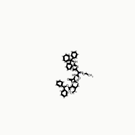 CCO/N=C(\C(=O)NC1C(=O)N2C(C(=O)OC(c3ccccc3)c3ccccc3)=C(CCl)CS[C@H]12)c1csc(NC(c2ccccc2)(c2ccccc2)c2ccccc2)n1